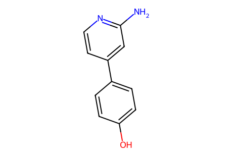 Nc1cc(-c2ccc(O)cc2)ccn1